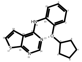 c1ccc(OC2CCCC2)c(Nc2ncnc3sccc23)c1